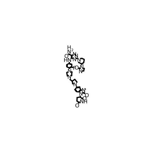 CN1CCN([C@@H]2CCCN(c3nnc(C(N)=O)c(Nc4ccc(N5CCN(CC6CCN(c7ccc8c(c7)n(C)c(=O)n8C7CCC(=O)NC7=O)C6)CC5)c(F)c4)n3)C2)C1=O